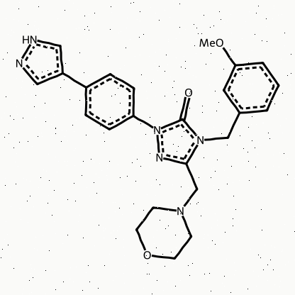 COc1cccc(Cn2c(CN3CCOCC3)nn(-c3ccc(-c4cn[nH]c4)cc3)c2=O)c1